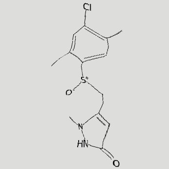 Cc1cc([S+]([O-])Cc2cc(=O)[nH]n2C)c(C)cc1Cl